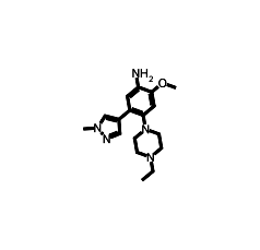 CCN1CCN(c2cc(OC)c(N)cc2-c2cnn(C)c2)CC1